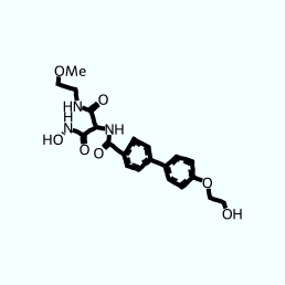 COCCNC(=O)C(NC(=O)c1ccc(-c2ccc(OCCO)cc2)cc1)C(=O)NO